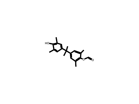 Cc1cc(C(C)(C)c2cc(C)c(OC=O)c(C)c2)cc(C)c1O